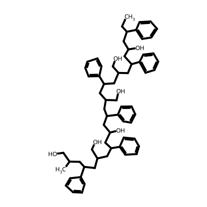 CCC(CC(O)CC(CC(CO)CC(CC(CO)CC(CC(O)CC(CC(CO)CC(CC(C)CO)c1ccccc1)c1ccccc1)c1ccccc1)c1ccccc1)c1ccccc1)c1ccccc1